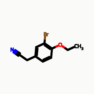 CCOc1ccc(CC#N)cc1Br